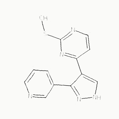 CSc1nccc(-c2c[nH]nc2-c2cccnc2)n1